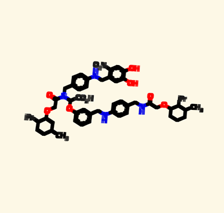 CC1CCC(C(C)C)C(OCC(=O)N(Cc2ccc(NCc3cc(O)c(O)cc3[N+](=O)[O-])cc2)C(Oc2cccc(CNc3ccc(CNC(=O)COC4CCCC(C)C4C(C)C)cc3)c2)C(=O)O)C1